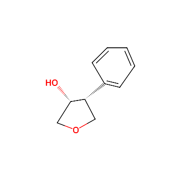 O[C@H]1COC[C@H]1c1ccccc1